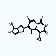 Cc1c(N2CC3=CC(F)C(N)C3C2)c(F)cn2c(=O)[nH]c(=O)c(C3CC3)c12